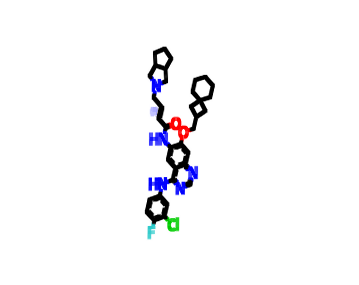 O=C(/C=C/CN1CC2CCCC2C1)Nc1cc2c(Nc3ccc(F)c(Cl)c3)ncnc2cc1OCC1CC2(CCCCC2)C1